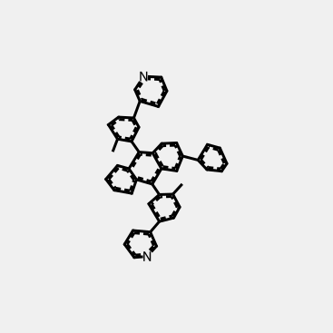 Cc1ccc(-c2cccnc2)cc1-c1c2ccccc2c(-c2cc(-c3cccnc3)ccc2C)c2cc(-c3ccccc3)ccc12